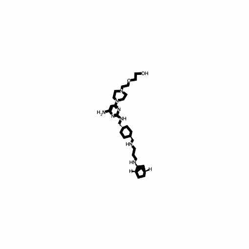 Nc1cc(N2CCN(CCOCCO)CC2)nc(NC[C@H]2CC[C@H](CNCCCN[C@H]3C[C@@H]4CC[C@H]3C4)CC2)n1